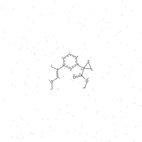 COC=C(C)c1cccc(C2(C(=O)OC)CC2)c1